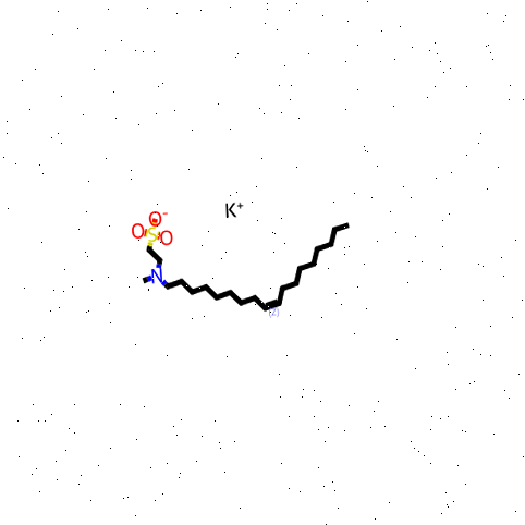 CCCCCCCC/C=C\CCCCCCCCN(C)CCS(=O)(=O)[O-].[K+]